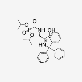 CC(C)OP(=O)(OC(C)C)C(=O)NC[C@@H](CO)NC(c1ccccc1)(c1ccccc1)c1ccccc1